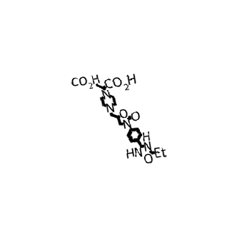 CCC(=O)NC(=N)c1ccc(N2CC(CN3CCN(C(CC(=O)O)C(=O)O)CC3)OC2=O)cc1